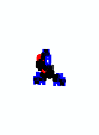 Cc1ccc(OCCN(C)C)cc1C(=O)N[C@H](C)c1cc(-c2cnc(N(C)C)nc2)cc(-c2cnc(N(C)C)nc2)c1